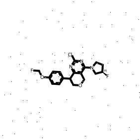 FCOc1ccc(C2COCc3c2nc(Cl)nc3N2CC[C@@H](F)C2)cc1